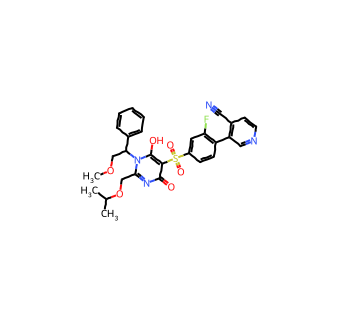 COCC(c1ccccc1)n1c(COC(C)C)nc(=O)c(S(=O)(=O)c2ccc(-c3cnccc3C#N)c(F)c2)c1O